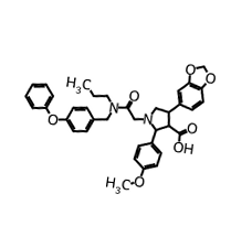 CCCN(Cc1ccc(Oc2ccccc2)cc1)C(=O)CN1CC(c2ccc3c(c2)OCO3)C(C(=O)O)C1c1ccc(OC)cc1